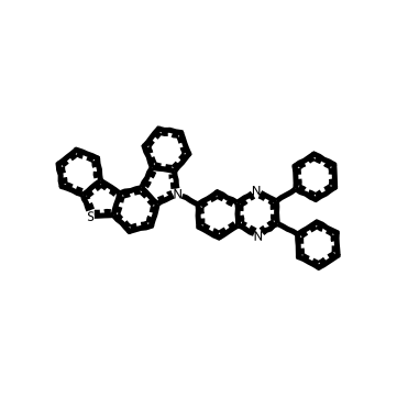 c1ccc(-c2nc3ccc(-n4c5ccccc5c5c6c(ccc54)sc4ccccc46)cc3nc2-c2ccccc2)cc1